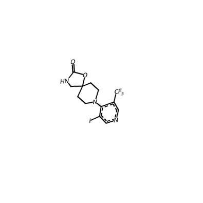 O=C1NCC2(CCN(c3c(I)cncc3C(F)(F)F)CC2)O1